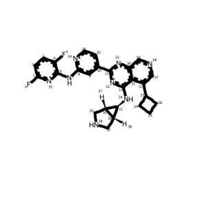 Fc1ccc(F)c(Nc2cc(-c3nc(N[C@H]4[C@@H]5CNC[C@@H]54)c4c(C5CCC5)cncc4n3)ccn2)n1